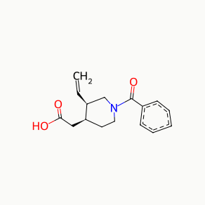 C=C[C@H]1CN(C(=O)c2ccccc2)CC[C@H]1CC(=O)O